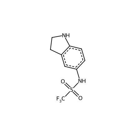 O=S(=O)(Nc1ccc2c(c1)CCN2)C(F)(F)F